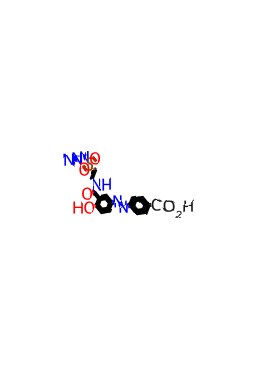 [N-]=[N+]=NS(=O)(=O)CCNC(=O)c1cc(/N=N/c2ccc(C(=O)O)cc2)ccc1O